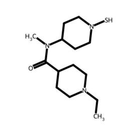 CCN1CCC(C(=O)N(C)C2CCN(S)CC2)CC1